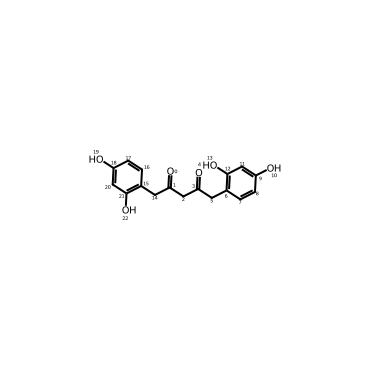 O=C(CC(=O)Cc1ccc(O)cc1O)Cc1ccc(O)cc1O